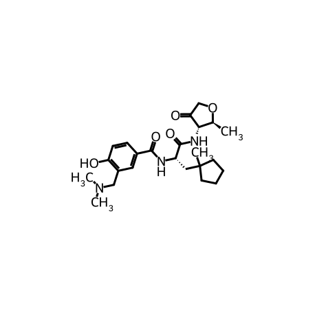 C[C@@H]1OCC(=O)[C@H]1NC(=O)[C@H](CC1(C)CCCC1)NC(=O)c1ccc(O)c(CN(C)C)c1